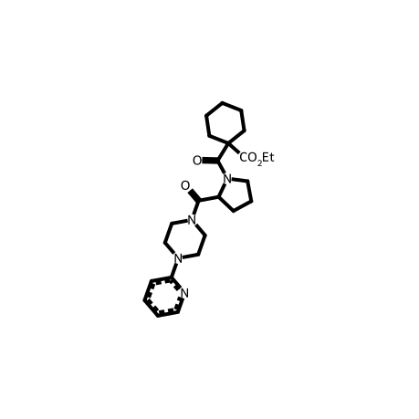 CCOC(=O)C1(C(=O)N2CCCC2C(=O)N2CCN(c3ccccn3)CC2)CCCCC1